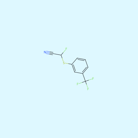 N#CC(F)Sc1cccc(C(F)(F)F)c1